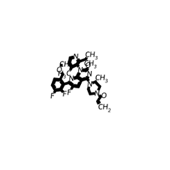 C=CC(=O)N1CCN(c2nc(=O)n(-c3c(C)ccnc3C(C)C)c3nc(-c4c(COC)ccc(F)c4F)c(F)cc23)[C@@H](C)C1